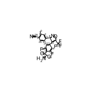 Cc1cc(-c2noc(C(F)(F)F)c2-c2cc(F)c(S(N)(=O)=O)c(F)c2)ccc1C#N